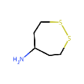 NC1CCSSCC1